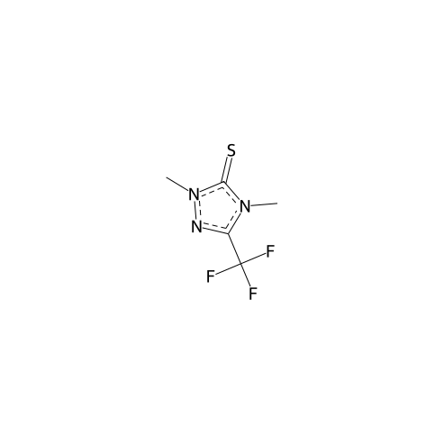 Cn1nc(C(F)(F)F)n(C)c1=S